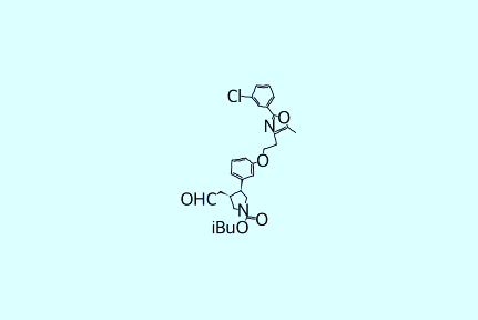 Cc1oc(-c2cccc(Cl)c2)nc1CCOc1cccc([C@H]2CN(C(=O)OCC(C)C)C[C@H]2CC=O)c1